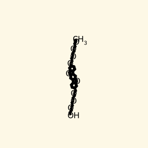 COCCOCCOCCOc1ccc2c(c1)oc1cc3c(cc12)oc1cc(COCCOCCOCCO)ccc13